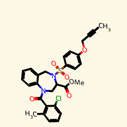 CC#CCOc1ccc(S(=O)(=O)N2Cc3ccccc3N(C(=O)c3c(C)cccc3Cl)CC2C(=O)OC)cc1